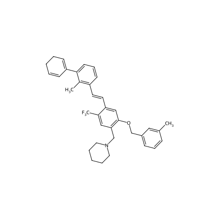 Cc1cccc(COc2cc(/C=C/c3cccc(C4=CCCC=C4)c3C)c(C(F)(F)F)cc2CN2CCCCC2)c1